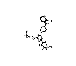 C[C@@H](NC(=O)c1nc(OC[C@H]2CC2(F)F)nc(N2CCC(c3n[nH]c4ncccc34)CC2)n1)C(C)(C)O